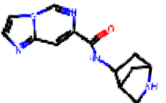 O=C(NC1CC2CC1CN2)c1cc2nccn2cn1